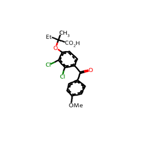 CCC(C)(Oc1ccc(C(=O)c2ccc(OC)cc2)c(Cl)c1Cl)C(=O)O